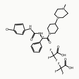 CN1CCN(C2CCN(C(=O)[C@H](NC(=O)Nc3ccc(Cl)cc3)c3ccccc3)CC2)CC1.O=C(O)C(F)(F)F.O=C(O)C(F)(F)F